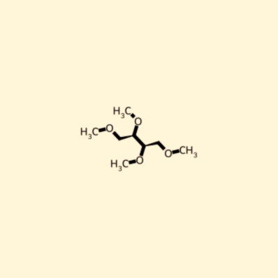 COC[C@@H](OC)[C@@H](COC)OC